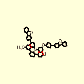 Cc1cccc(-c2cccc(-c3ccccc3)c2N(c2ccc(-c3ccc4c(c3)oc3ccccc34)cc2)c2cc(Cl)cc(Oc3ccc(-c4ccc5c(c4)oc4ccccc45)cc3)c2)c1